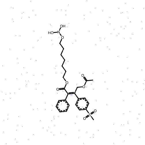 CC(=O)OC/C(=C(\C(=O)OCCCCCCCON(O)O)c1ccccc1)c1ccc(S(C)(=O)=O)cc1